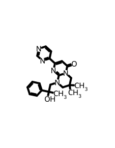 CC1(C)CN(CC(C)(O)c2ccccc2)c2nc(-c3ccncn3)cc(=O)n2C1